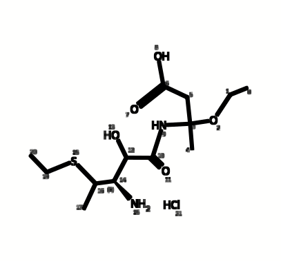 CCOC(C)(CC(=O)O)NC(=O)C(O)[C@@H](N)C(C)SCC.Cl